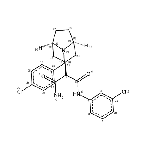 NC(=O)C(C(=O)Nc1cccc(Cl)c1)[C@H]1C[C@H]2CC[C@@H](C1)N2Cc1ccc(Cl)cc1